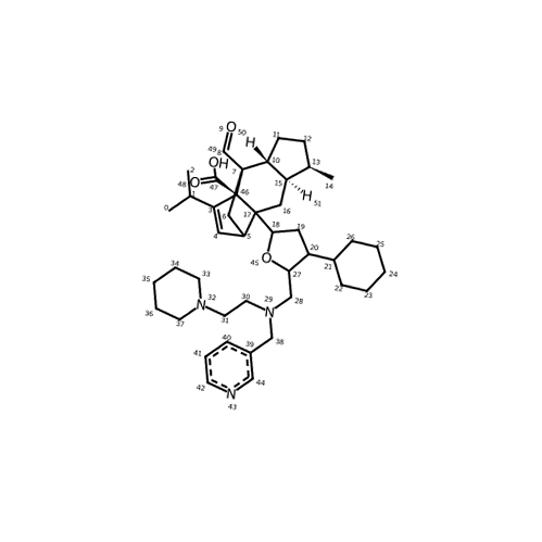 CC(C)C1=CC2CC3(C=O)[C@@H]4CC[C@@H](C)[C@H]4CC2(C2CC(C4CCCCC4)C(CN(CCN4CCCCC4)Cc4cccnc4)O2)[C@]13C(=O)O